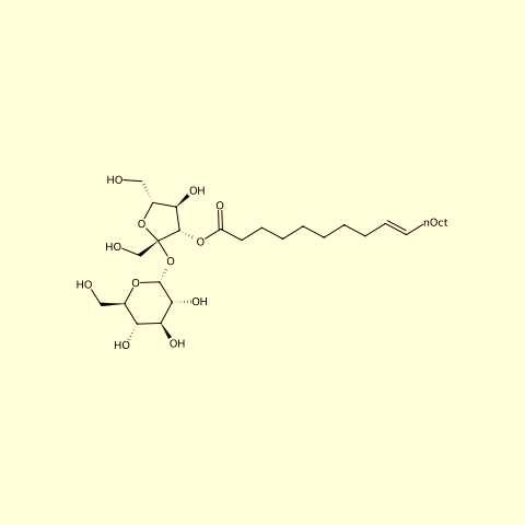 CCCCCCCC/C=C/CCCCCCCC(=O)O[C@H]1[C@H](O)[C@@H](CO)O[C@@]1(CO)O[C@H]1O[C@H](CO)[C@@H](O)[C@H](O)[C@H]1O